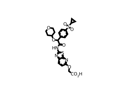 O=C(O)COc1ccc2nc(NC(=O)C(OC3CCOCC3)c3ccc(S(=O)(=O)C4CC4)cc3)sc2n1